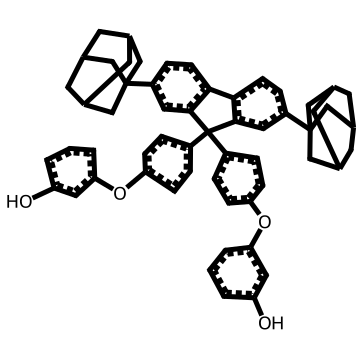 Oc1cccc(Oc2ccc(C3(c4ccc(Oc5cccc(O)c5)cc4)c4cc(C56CC7CC(CC(C7)C5)C6)ccc4-c4ccc(C56CC7CC(CC(C7)C5)C6)cc43)cc2)c1